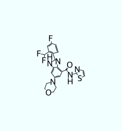 O=C(Nc1nccs1)c1cc(N2CCOCC2)cc2[nH]c(-c3ccc(F)cc3C(F)F)nc12